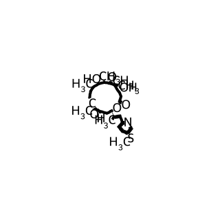 CSc1ccc(/C=C(\C)[C@@H]2C[C@@H]3O[C@]3(C)CCC[C@H](C)[C@H](O)[C@@H](C)C(=O)C(C)(C)[C@@H](O)CC(=O)O2)nc1